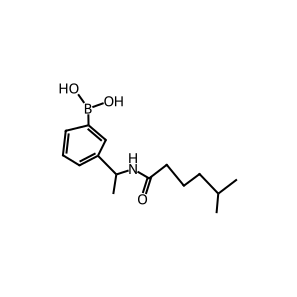 CC(C)CCCC(=O)NC(C)c1cccc(B(O)O)c1